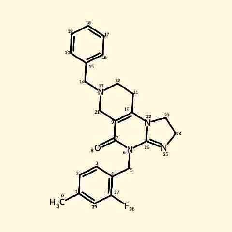 Cc1ccc(CN2C(=O)C3=C(CCN(Cc4ccccc4)C3)N3CCN=C23)c(F)c1